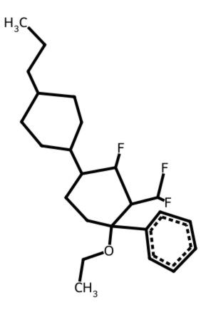 CCCC1CCC(C2CCC(OCC)(c3ccccc3)C(C(F)F)C2F)CC1